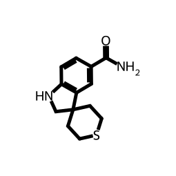 NC(=O)c1ccc2c(c1)C1(CCSCC1)CN2